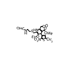 CCOC1=C(CSCCNC=O)NC(C=C=O)=C(C(=O)OC)C1c1cc(C)sc1[N+](=O)[O-]